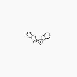 C[CH]=[Ti]([Cl])([Cl])([C]1=Cc2ccccc2C1)[C]1=Cc2ccccc2C1